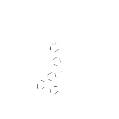 C/C=C\C(=C/C)c1ccc(Nc2ccc(-c3ccccc3-c3ccccc3)cc2)cc1